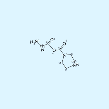 NNC(=O)OC(=O)N1CCNCC1